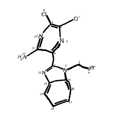 CC(C)Cn1c(-c2nc(Cl)c(Cl)nc2N)nc2ccccc21